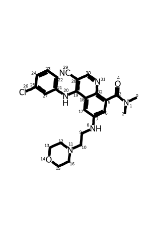 CN(C)C(=O)c1cc(NCCN2CCOCC2)cc2c(Nc3cccc(Cl)c3)c(C#N)cnc12